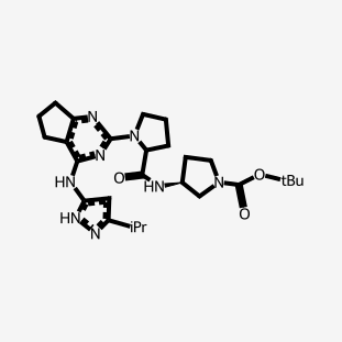 CC(C)c1cc(Nc2nc(N3CCCC3C(=O)N[C@H]3CCN(C(=O)OC(C)(C)C)C3)nc3c2CCC3)[nH]n1